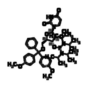 COc1ccc(C(OC[C@H]2O[C@@H](n3ccc(=O)[nH]c3=O)[C@H](OC)[C@@H]2OP(N(C(C)C)C(C)C)N(C(C)C)C(C)C)(c2ccccc2)c2ccc(OC)cc2)cc1